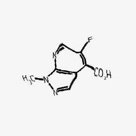 Cn1ncc2c(C(=O)O)c(F)cnc21